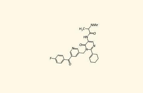 CNC(C)C(=O)Nc1cnc(C2=CCCCC2)n(Cc2cncc(C(=O)c3ccc(F)cc3)c2)c1=O